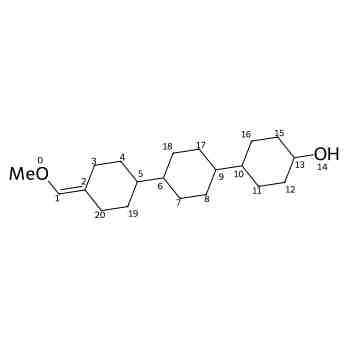 COC=C1CCC(C2CCC(C3CCC(O)CC3)CC2)CC1